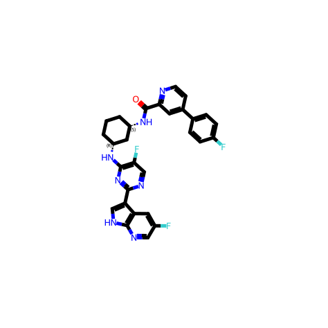 O=C(N[C@H]1CCC[C@@H](Nc2nc(-c3c[nH]c4ncc(F)cc34)ncc2F)C1)c1cc(-c2ccc(F)cc2)ccn1